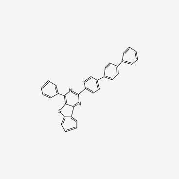 c1ccc(-c2ccc(-c3ccc(-c4nc(-c5ccccc5)c5sc6ccccc6c5n4)cc3)cc2)cc1